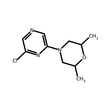 CC1CN(c2cncc(Cl)n2)CC(C)O1